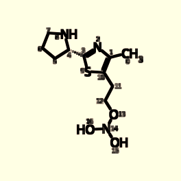 Cc1nc([C@@H]2CCCN2)sc1CCON(O)O